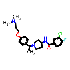 CC(c1ccc(OCCCN(C)C)cc1)N1CCC(NC(=O)c2ccc(F)c(Cl)c2)CC1